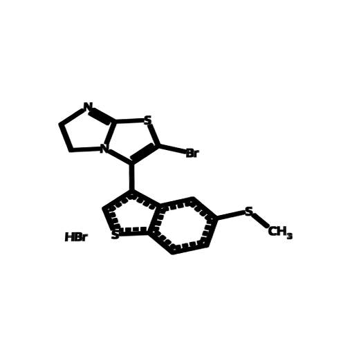 Br.CSc1ccc2scc(C3=C(Br)SC4=NCCN43)c2c1